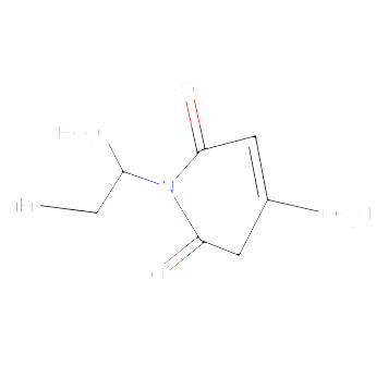 CC(C)CC(C(=O)O)N1C(=O)C=C(C(=O)O)CC1=O